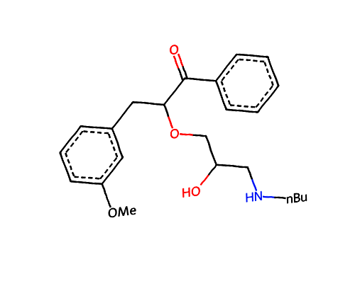 CCCCNCC(O)COC(Cc1cccc(OC)c1)C(=O)c1ccccc1